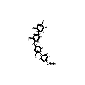 COc1ccc(-c2ccc(Cc3ccc(-c4ccc(C)cc4C)cc3F)cc2C)cc1